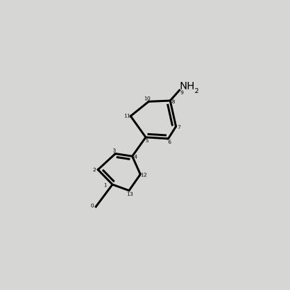 CC1=CC=C(C2=CC=C(N)CC2)CC1